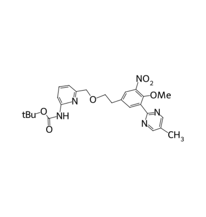 COc1c(-c2ncc(C)cn2)cc(CCOCc2cccc(NC(=O)OC(C)(C)C)n2)cc1[N+](=O)[O-]